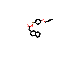 CC#CCOc1ccc(SOC(=O)Cc2ccc3ccccc3c2)cc1